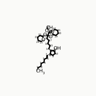 CCCCCCC=C[C@H]1CC[C@H](O)[C@@H]1CCCCCC(OC1CCCCO1)(OC1CCCCO1)C(=O)OC